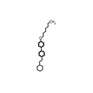 CCCCCCCOc1ccc(-c2ccc(CCC3CC[CH]CC3)cc2)cc1